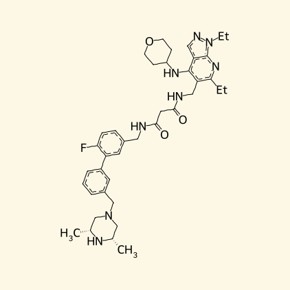 CCc1nc2c(cnn2CC)c(NC2CCOCC2)c1CNC(=O)CC(=O)NCc1ccc(F)c(-c2cccc(CN3C[C@@H](C)N[C@@H](C)C3)c2)c1